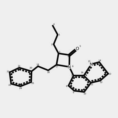 CCCC1C(=O)N(c2cccc3cccnc23)C1CCc1ccccc1